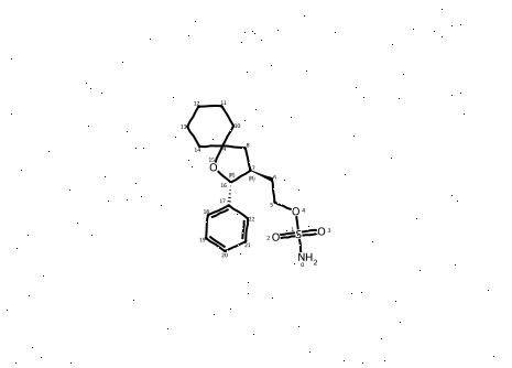 NS(=O)(=O)OCC[C@@H]1CC2(CCCCC2)O[C@H]1c1ccccc1